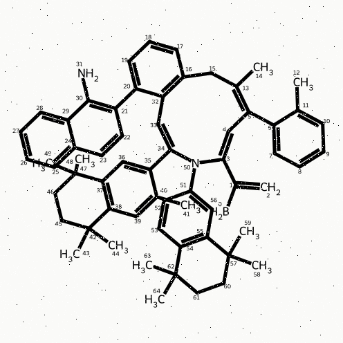 BC(=C)/C1=C\C(c2ccccc2C)=C(\C)Cc2cccc(-c3ccc4ccccc4c3N)c2/C=C(/c2cc3c(cc2C)C(C)(C)CCC3(C)C)N1c1ccc2c(c1)C(C)(C)CCC2(C)C